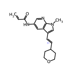 C=CC(=O)Nc1cnc2c(c1)c(/C=C/C1CCOCC1)cn2C